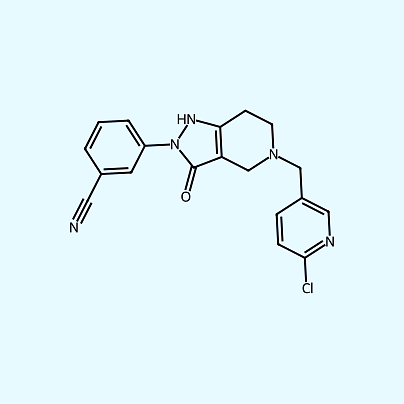 N#Cc1cccc(-n2[nH]c3c(c2=O)CN(Cc2ccc(Cl)nc2)CC3)c1